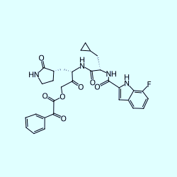 O=C(OCC(=O)[C@H](C[C@@H]1CCNC1=O)NC(=O)[C@H](CC1CC1)NC(=O)c1cc2cccc(F)c2[nH]1)C(=O)c1ccccc1